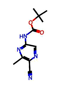 Cc1nc(NC(=O)OC(C)(C)C)cnc1C#N